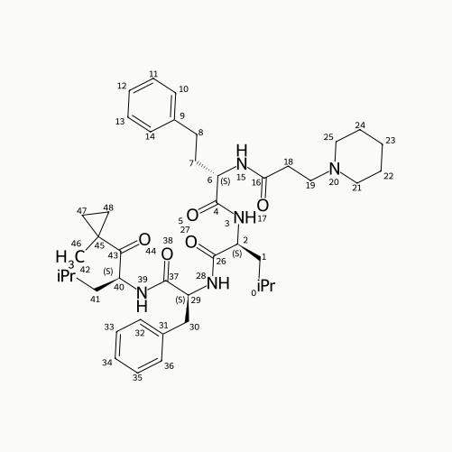 CC(C)C[C@H](NC(=O)[C@H](CCc1ccccc1)NC(=O)CCN1CCCCC1)C(=O)N[C@@H](Cc1ccccc1)C(=O)N[C@@H](CC(C)C)C(=O)C1(C)CC1